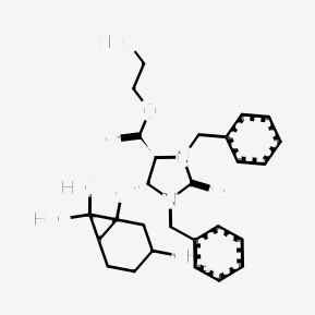 CCCOC(=O)[C@@H]1[C@@H](OC23CC(C)CCC2C3(C)C)N(Cc2ccccc2)C(=O)N1Cc1ccccc1